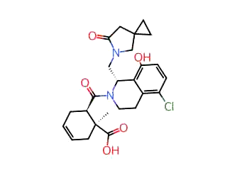 C[C@]1(C(=O)O)CC=CC[C@H]1C(=O)N1CCc2c(Cl)ccc(O)c2[C@H]1CN1CC2(CC2)CC1=O